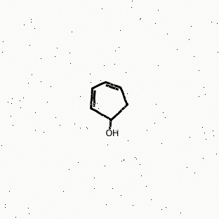 OC1C=CC=CC1